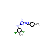 N#Cc1c(Cl)cc(Nc2n[nH]c(NCc3ccc(C(F)(F)F)cc3)n2)cc1Cl